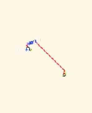 CCCN(Cc1cnc(CN(C)CCOCCOCCOCCOCCOCCOCCOCCOCCOCCOCCC(=O)Oc2c(F)c(F)cc(F)c2F)cn1)C(=O)C1=Cc2sccc2N=C(N)C1